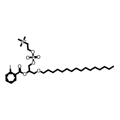 CCCCCCCCCCCCCCCCOCC(COP(=O)([O-])OCC[N+](C)(C)C)OC(=O)c1ccccc1I